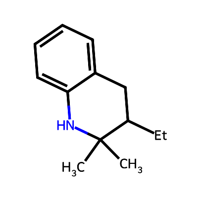 CCC1Cc2ccccc2NC1(C)C